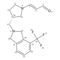 O=CC=CN1CC[C@@H](CN2Cc3cccc(C(F)(F)F)c3C2)C1